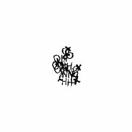 CC(C)C[C@H](NC(=O)[C@H](COC(C)(C)C)NC(=O)OC(C)(C)C)C(=O)N[C@@H](CCC(=O)OC(C)(C)C)C(=O)O